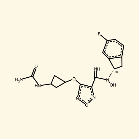 N=C(c1nonc1OC1CC(NC(N)=O)C1)N(O)[C@H]1Cc2ccc(F)cc21